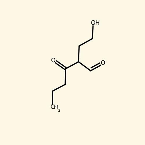 CCCC(=O)C(C=O)CCO